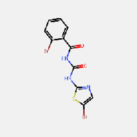 O=C(NC(=O)c1ccccc1Br)Nc1ncc(Br)s1